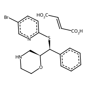 Brc1ccc(S[C@@H](c2ccccc2)[C@@H]2CNCCO2)nc1.O=C(O)/C=C/C(=O)O